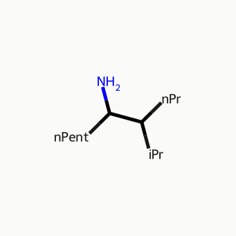 CCCCCC(N)C(CCC)C(C)C